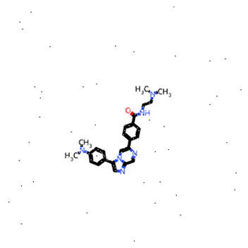 CN(C)CCNC(=O)c1ccc(-c2cn3c(-c4ccc(N(C)C)cc4)cnc3cn2)cc1